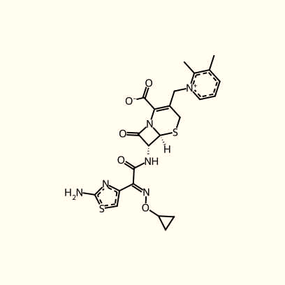 Cc1ccc[n+](CC2=C(C(=O)[O-])N3C(=O)[C@@H](NC(=O)C(=NOC4CC4)c4csc(N)n4)[C@@H]3SC2)c1C